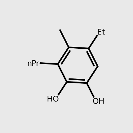 CCCc1c(C)c(CC)cc(O)c1O